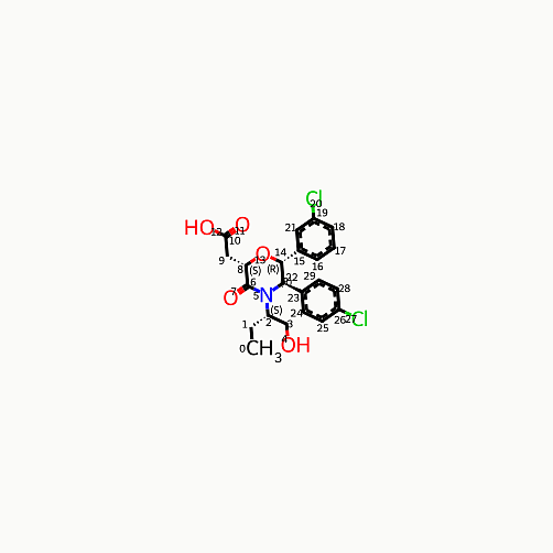 CC[C@@H](CO)N1C(=O)[C@H](CC(=O)O)O[C@H](c2cccc(Cl)c2)[C@H]1c1ccc(Cl)cc1